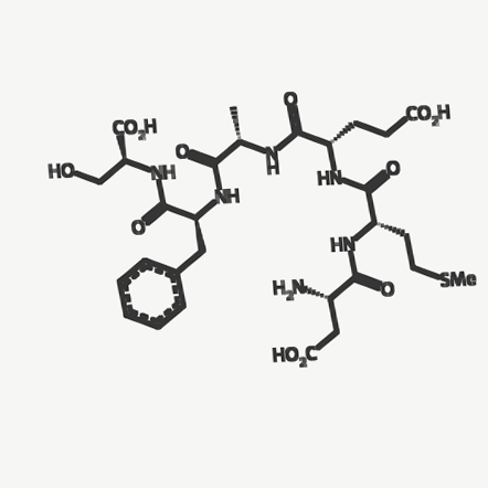 CSCC[C@H](NC(=O)[C@@H](N)CC(=O)O)C(=O)N[C@@H](CCC(=O)O)C(=O)N[C@@H](C)C(=O)N[C@@H](Cc1ccccc1)C(=O)N[C@@H](CO)C(=O)O